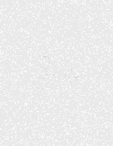 C1CCC(P(C2CCCCC2)C2CCC2)CC1.F[B-](F)(F)F